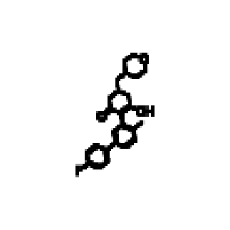 Cc1ccc(-c2ccc(F)cc2)cc1C1=C(O)CC(CC2CCOCC2)CC1=O